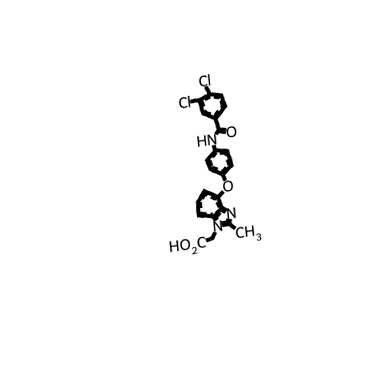 Cc1nc2c(Oc3ccc(NC(=O)c4ccc(Cl)c(Cl)c4)cc3)cccc2n1CC(=O)O